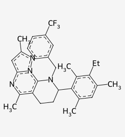 CCc1c(C)cc(C)c(C2CCc3c(C)nc4cc(C)nn4c3N2Cc2cccc(C(F)(F)F)c2)c1C